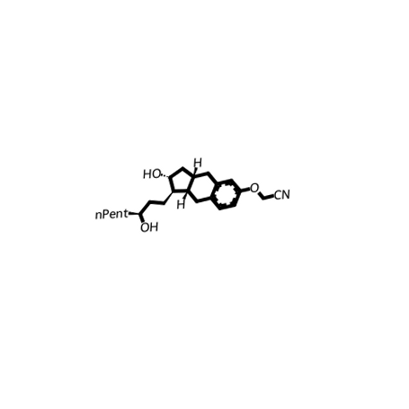 CCCCC[C@H](O)CC[C@@H]1[C@H]2Cc3ccc(OCC#N)cc3C[C@H]2C[C@H]1O